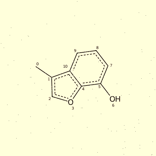 Cc1coc2c(O)cccc12